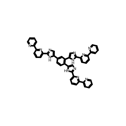 c1ccc(-c2cccc(-c3ncc(-c4ccc(-c5cnc(-c6cccc(-c7ccccn7)n6)[nH]5)c(-c5cnc(-c6cccc(-c7ccccn7)n6)[nH]5)c4)[nH]3)n2)nc1